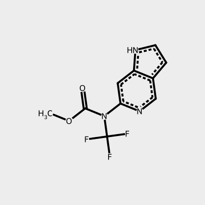 COC(=O)N(c1cc2[nH]ccc2cn1)C(F)(F)F